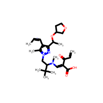 C=CC(=O)/C(=C\N(C)C(Cn1nc(C(C)OC2CCOC2)c(/C=C\C)c1C)C(C)(C)C)C(=O)O